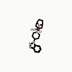 O=C(O)N1C2CCC1CC(N1CCC(n3nnc4ccccc43)CC1)C2